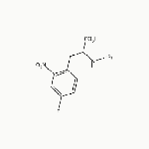 CCCNC(Cc1ccc(F)cc1[N+](=O)[O-])C(=O)O